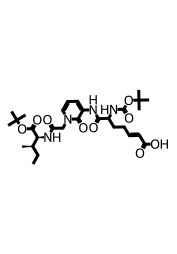 CC[C@@H](C)[C@H](NC(=O)Cn1cccc(NC(=O)C(CCC=CC(=O)O)NC(=O)OC(C)(C)C)c1=O)C(=O)OC(C)(C)C